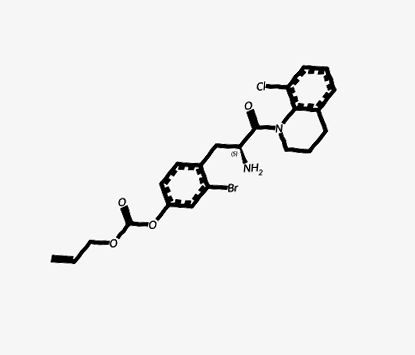 C=CCOC(=O)Oc1ccc(C[C@H](N)C(=O)N2CCCc3cccc(Cl)c32)c(Br)c1